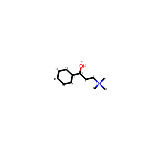 C[N+](C)(C)CCC(O)C1CCCCC1